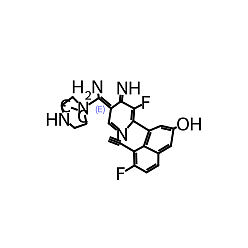 C#Cc1c(F)ccc2cc(O)cc(C3=C(F)C(=N)/C(=C(\N)N4CC5CCCC4CN5)C=N3)c12